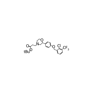 CC(C)(C)OC(=O)CCN1CCOC(c2ccc(OCc3cccc(C(F)(F)F)c3Cl)cc2)C1